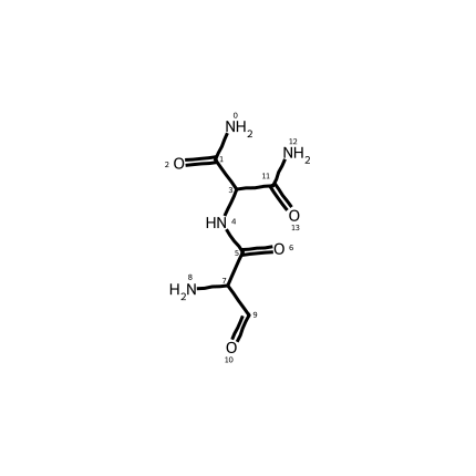 NC(=O)C(NC(=O)C(N)C=O)C(N)=O